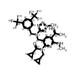 CNc1nc(N(CC2CC2)C(=O)C2CC2)c(CN(Cc2cc(C(F)(F)F)cc(C(F)(F)F)c2)c2nnn(C)n2)cc1C(C)=N